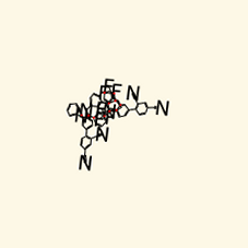 N#Cc1ccc(-c2ccc3c(c2)c2ccccc2n3-c2cccc(C#N)c2-c2c(-c3c(C(F)(F)F)cccc3C(F)(F)F)cccc2-n2c3ccccc3c3cc(-c4ccc(C#N)cc4C#N)ccc32)c(C#N)c1